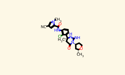 C[C@@H]1C[C@H](N2C(=N)N[C@](C)(c3cccc(NC(=O)c4cc(C#N)cn4C)c3Cl)CC2=O)CCO1